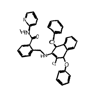 O=C(Nc1ccccn1)c1ccccc1CNC1=C(Cl)C(Oc2ccccc2)c2ccccc2C1Oc1ccccc1